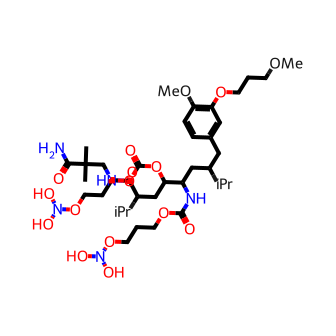 COCCCOc1cc(CC(CC(NC(=O)OCCCON(O)O)C(CC(C(=O)NCC(C)(C)C(N)=O)C(C)C)OC(=O)OCCCON(O)O)C(C)C)ccc1OC